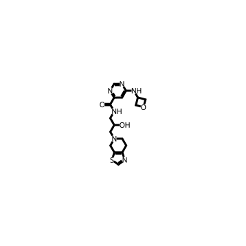 O=C(NCC(O)CN1CCc2ncsc2C1)c1cc(NC2COC2)ncn1